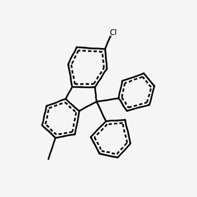 Cc1ccc2c(c1)C(c1ccccc1)(c1ccccc1)c1cc(Cl)ccc1-2